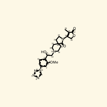 COc1cc(-n2cnnn2)ccc1C(O)CN1CCC2(CC1)CCN(C1=C(C)C(=O)OC1)C2=O